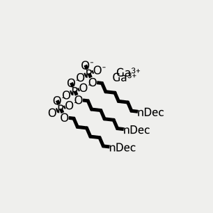 CCCCCCCCCCCCCCCCOP(=O)([O-])[O-].CCCCCCCCCCCCCCCCOP(=O)([O-])[O-].CCCCCCCCCCCCCCCCOP(=O)([O-])[O-].[Ga+3].[Ga+3]